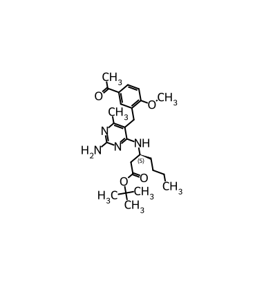 CCCC[C@@H](CC(=O)OC(C)(C)C)Nc1nc(N)nc(C)c1Cc1cc(C(C)=O)ccc1OC